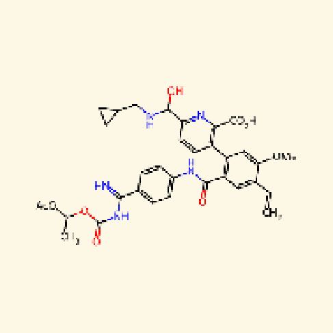 C=Cc1cc(C(=O)Nc2ccc(C(=N)NC(=O)OC(C)OC(C)=O)cc2)c(-c2ccc(C(O)NCC3CC3)nc2C(=O)O)cc1OC